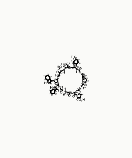 CC(C)[C@@H]1NC(=O)[C@H](Cc2c[nH]c3ccccc23)NC(=O)N(CCc2c[nH]c3ccccc23)C(=O)CNC(=O)[C@H](CO)NC(=O)[C@H]([C@@H](C)O)NC2=N[C@@]2(Cc2ccc(C(F)(F)F)cc2)NC(=O)CNC(=O)[C@@H]2CCCN2C(=O)[C@H](C)NC(=O)C[C@@H](C(=O)N2CCC[C@H]2C(=O)O)NC1=O